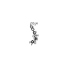 O=C(O)CC1CCC2(CC1)CCC(c1ccc(NC(=O)c3nnc(Nc4ccc(F)c(F)c4)o3)cn1)CC2